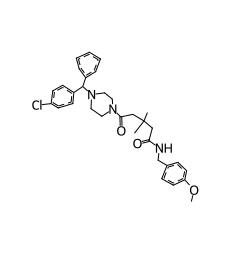 COc1ccc(CNC(=O)CC(C)(C)CC(=O)N2CCN(C(c3ccccc3)c3ccc(Cl)cc3)CC2)cc1